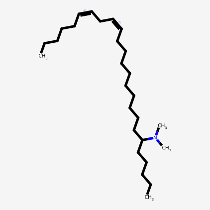 CCCCC/C=C\C/C=C\CCCCCCCCCC(CCCCC)N(C)C